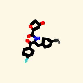 O=C(NC(Cc1ccc(C(F)(F)F)cc1)C(=O)c1ccc(F)cc1)c1cc(=O)cco1